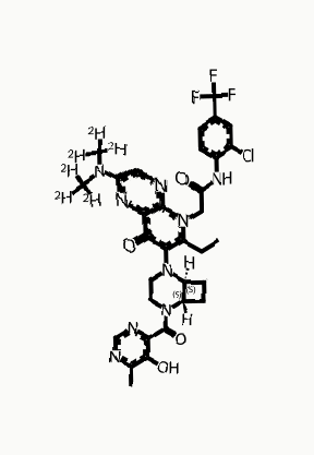 [2H]C([2H])([2H])N(c1cnc2c(n1)c(=O)c(N1CCN(C(=O)c3ncnc(C)c3O)[C@H]3CC[C@@H]31)c(CC)n2CC(=O)Nc1ccc(C(F)(F)F)cc1Cl)C([2H])([2H])[2H]